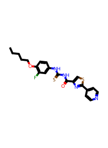 CCCCCOc1ccc(NC(=S)NC(=O)c2csc(-c3ccncc3)n2)cc1F